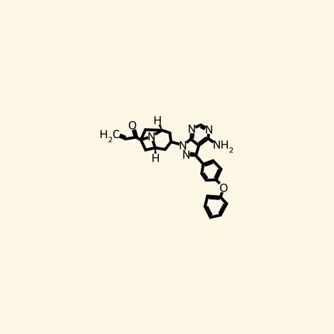 C=CC(=O)C12C[C@H]3CC(n4nc(-c5ccc(Oc6ccccc6)cc5)c5c(N)ncnc54)C[C@@H](C1)N32